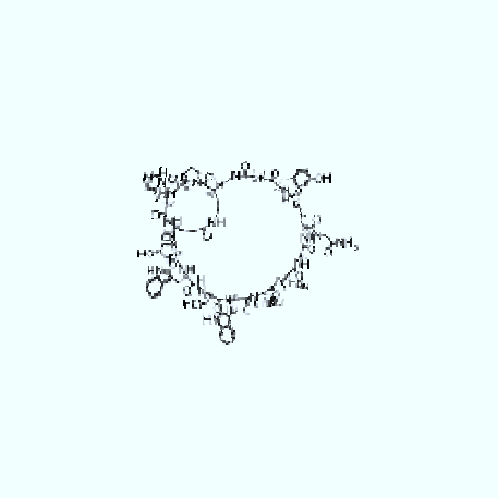 CCCC[C@H]1C(=O)N(C)[C@@H](CCCC)C(=O)N[C@@H](C)C(=O)N[C@H](C(=O)NCC(N)=O)CSCC(=O)N[C@@H](Cc2ccc(O)cc2)C(=O)N(C)[C@@H](C)C(=O)N[C@H]2CCCNC(=O)CC[C@H](NC(=O)[C@H](Cc3cnc[nH]3)NC(=O)[C@@H]3CCCN3C2=O)C(=O)N2C[C@H](O)C[C@H]2C(=O)N[C@@H](Cc2c[nH]c3ccccc23)C(=O)N[C@@H](CO)C(=O)N[C@@H](Cc2c[nH]c3ccccc23)C(=O)N1C